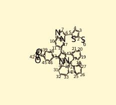 CSc1ccc(-c2cnc3ccc(-c4cn(C(c5ccccc5)(c5ccccc5)C5C=CC=CC5)nc4-c4ccc(S(C)(=O)=O)cc4)cn23)s1